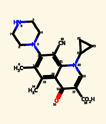 Cc1c(N2CCNCC2)c(C#N)c2c(c1C)c(=O)c(C(=O)O)cn2C1CC1